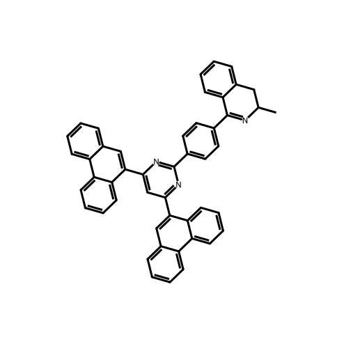 CC1Cc2ccccc2C(c2ccc(-c3nc(-c4cc5ccccc5c5ccccc45)cc(-c4cc5ccccc5c5ccccc45)n3)cc2)=N1